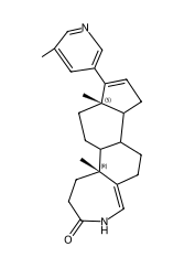 Cc1cncc(C2=CCC3C4CCC5=CNC(=O)CC[C@]5(C)C4CC[C@]23C)c1